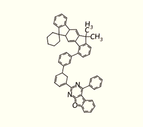 CC1(C)C2=CC3c4ccccc4C4(CCCCC4)C3C=C2c2c(-c3cccc(C4C=CC=C(c5nc(-c6ccccc6)c6c(n5)oc5ccccc56)C4)c3)cccc21